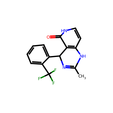 CC1=NC(c2ccccc2C(F)(F)F)c2c(cc[nH]c2=O)N1